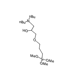 CCCCN(CCCC)CC(O)COCCC[Si](OC)(OC)OC